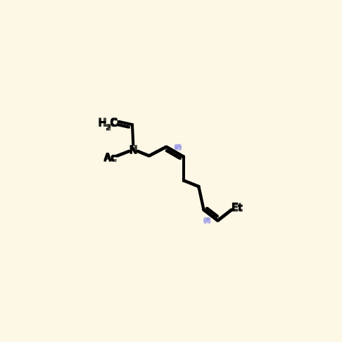 C=CN(C/C=C\CC/C=C\CC)C(C)=O